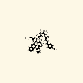 CCC(=O)OB(OC(=O)CN(C)C(C)CNC(=O)CCCc1ccc(C)cc1)[C@H](CC(C)C)NC(=O)[C@H](Cc1ccccc1)NC(=O)c1cnccn1